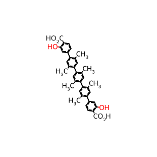 Cc1cc(-c2cc(C)c(-c3cc(C)c(-c4ccc(C(=O)O)c(O)c4)cc3C)cc2C)c(C)cc1-c1ccc(C(=O)O)c(O)c1